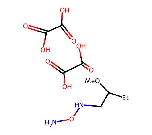 CCC(CNON)OC.O=C(O)C(=O)O.O=C(O)C(=O)O